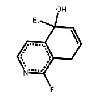 CCC1(O)C=CCc2c1ccnc2F